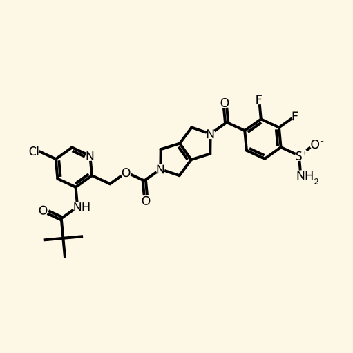 CC(C)(C)C(=O)Nc1cc(Cl)cnc1COC(=O)N1CC2=C(C1)CN(C(=O)c1ccc([S+](N)[O-])c(F)c1F)C2